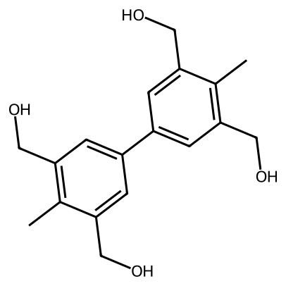 Cc1c(CO)cc(-c2cc(CO)c(C)c(CO)c2)cc1CO